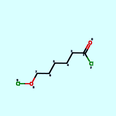 O=C(Cl)CCCCCOCl